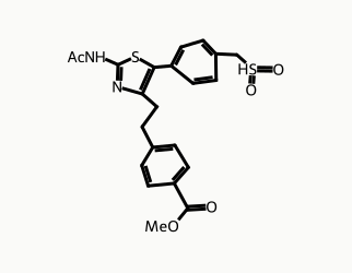 COC(=O)c1ccc(CCc2nc(NC(C)=O)sc2-c2ccc(C[SH](=O)=O)cc2)cc1